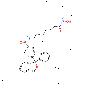 CCOC(c1ccccc1)(c1ccccc1)c1ccc(C(=O)N(C)CCCCCCC(=O)NO)cc1